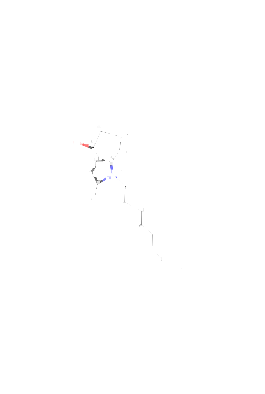 Cc1cc2c(n1CCCCCCC(=O)O)CCCC2=O